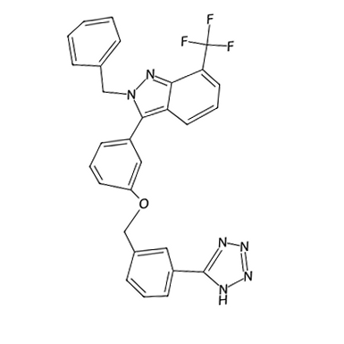 FC(F)(F)c1cccc2c(-c3cccc(OCc4cccc(-c5nnn[nH]5)c4)c3)n(Cc3ccccc3)nc12